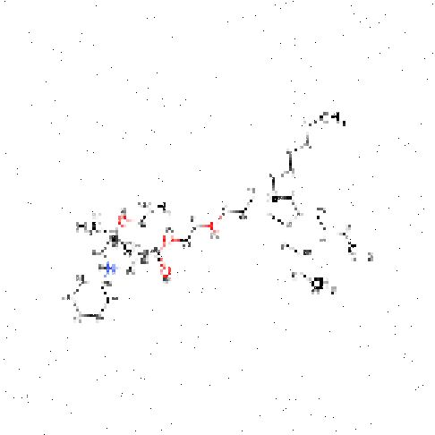 CCCCCC[Si](CCCCCC)(CCCCCC)CCCOCCOC(=O)CCN(C[Si](C)(C)OCC)C1CCCCC1